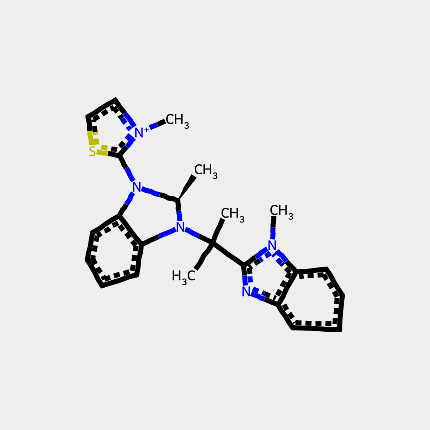 C[C@@H]1N(c2scc[n+]2C)c2ccccc2N1C(C)(C)c1nc2ccccc2n1C